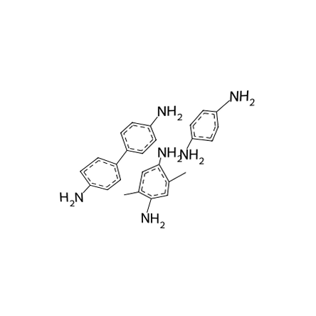 Cc1cc(N)c(C)cc1N.Nc1ccc(-c2ccc(N)cc2)cc1.Nc1ccc(N)cc1